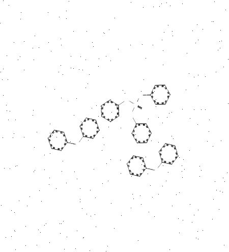 O=P(Oc1ccccc1)(Oc1ccccc1)Oc1ccccc1.c1ccc(Pc2ccccc2)cc1.c1ccc(Pc2ccccc2)cc1